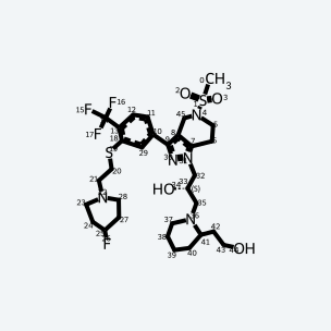 CS(=O)(=O)N1CCc2c(c(-c3ccc(C(F)(F)F)c(SCCN4CCC(F)CC4)c3)nn2C[C@@H](O)CN2CCCCC2CCO)C1